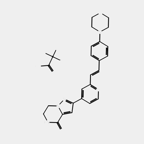 O=C(O)C(F)(F)F.O=C1NCCn2nc(-c3ccnc(C=Cc4ccc(N5CCOCC5)cc4)c3)cc21